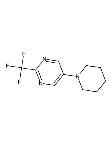 FC(F)(F)c1ncc(N2CCCCC2)cn1